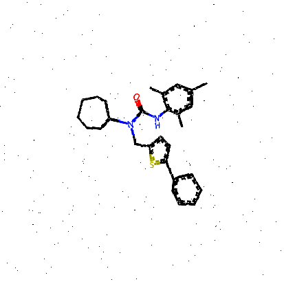 Cc1cc(C)c(NC(=O)N(Cc2ccc(-c3ccccc3)s2)C2CCCCCC2)c(C)c1